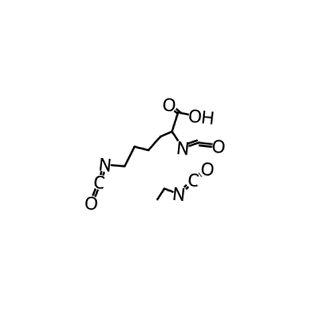 CCN=C=O.O=C=NCCCCC(N=C=O)C(=O)O